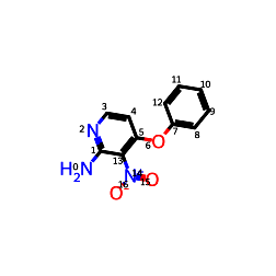 Nc1nccc(Oc2ccccc2)c1[N+](=O)[O-]